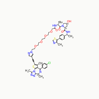 Cc1ncsc1-c1ccc(C(C)NC(=O)[C@@H]2C[C@@H](O)CN2C(=O)C(NC(=O)COCCOCCOCCOCCn2cc(C#Cc3sc4c(c3C)C(c3ccc(Cl)cc3)=N[C@@H](C)c3nnc(C)n3-4)cn2)C(C)(C)C)cc1